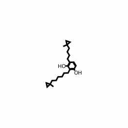 CC1(CCCCCCc2c(O)ccc(CCCCC3(C)CC3)c2O)CC1